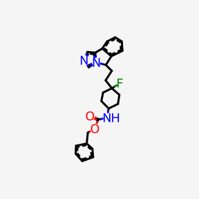 O=C(NC1CCC(F)(CCC2c3ccccc3-c3cncn32)CC1)OCc1ccccc1